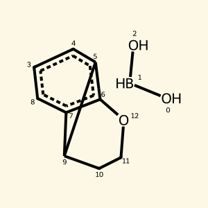 OBO.c1cc2c3c(c1)C2CCO3